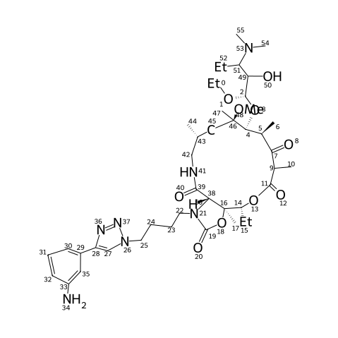 CCO[C@@H](O[C@@H]1[C@@H](C)C(=O)C(C)C(=O)O[C@H](CC)[C@@]2(C)OC(=O)N(CCCCn3cc(-c4cccc(N)c4)nn3)[C@@H]2C(=O)NC[C@H](C)C[C@@]1(C)OC)C(O)C(CC)N(C)C